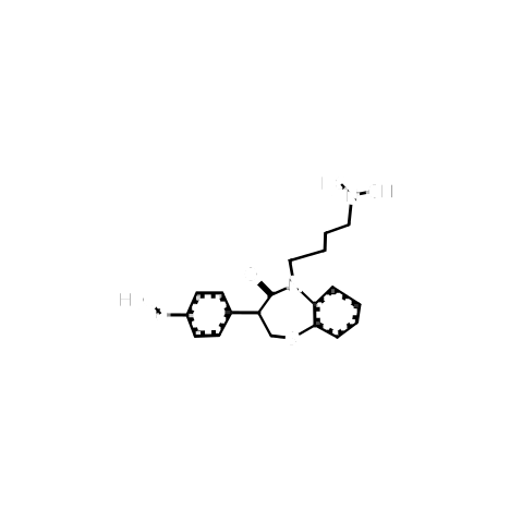 COc1ccc(C2CSc3ccccc3N(CCCCN(C)C)C2=O)cc1